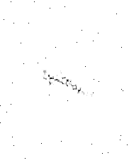 COc1cc2nn(C3CC(C(C)(C)O)C3)cc2cc1NC(=O)c1cc(C(F)(F)F)ccn1